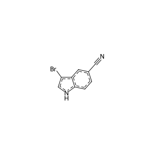 N#Cc1ccc2[nH]cc(Br)c2c1